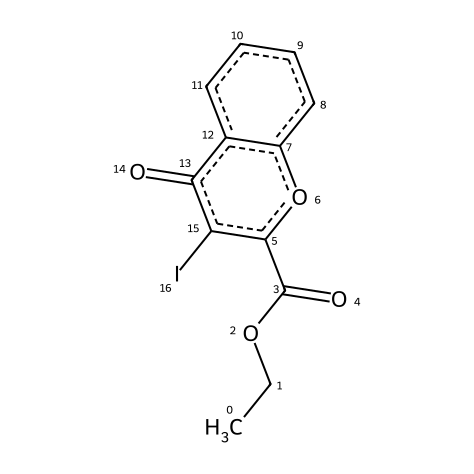 CCOC(=O)c1oc2ccccc2c(=O)c1I